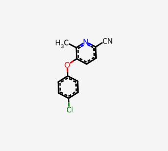 Cc1nc(C#N)ccc1Oc1ccc(Cl)cc1